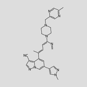 C=N/C(=C\C=C(/C)c1cc(-c2cnn(C)c2)cn2ncc(C#N)c12)N1CCN(Cc2cnc(C)cn2)CC1